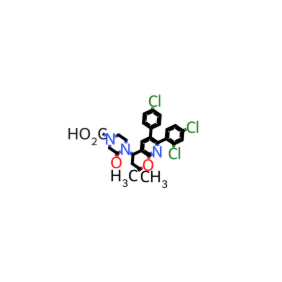 CC1(C)CC(N2CCN(C(=O)O)CC2=O)c2cc(-c3ccc(Cl)cc3)c(-c3ccc(Cl)cc3Cl)nc2O1